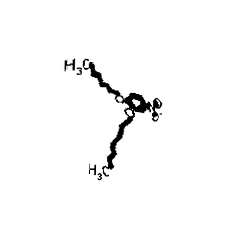 CCCCCCCCOc1ccc([N+](=O)[O-])cc1OCCCCCCCC